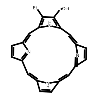 CCCCCCCCc1c(CC)c2cc3nc(cc4ccc(cc5nc(cc1[nH]2)C=C5)[nH]4)C=C3